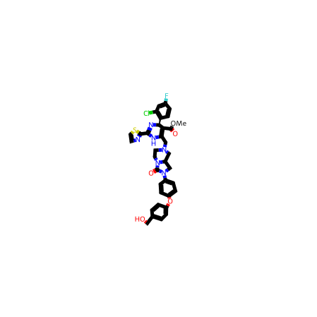 COC(=O)C1=C(CN2CCN3C(=O)N(c4ccc(Oc5ccc(CO)cc5)cc4)CC3C2)NC(c2nccs2)=N[C@H]1c1ccc(F)cc1Cl